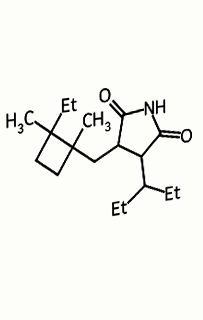 CCC(CC)C1C(=O)NC(=O)C1CC1(C)CCC1(C)CC